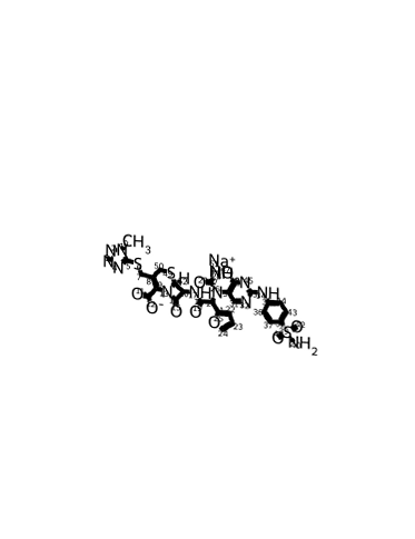 Cn1nnnc1SCC1=C(C(=O)[O-])N2C(=O)C(NC(=O)C(c3ccco3)N(C(N)=O)c3cnc(Nc4ccc(S(N)(=O)=O)cc4)nc3O)[C@@H]2SC1.[Na+]